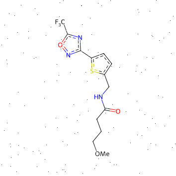 COCCCC(=O)NCc1ccc(-c2noc(C(F)(F)F)n2)s1